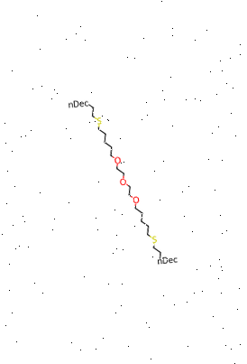 CCCCCCCCCCCCSCCCCCOCCOCCOCCCCCSCCCCCCCCCCCC